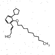 CCCCCCCCCCCOc1c(C=CCO)cccc1C1CCCC1